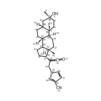 C[C@@]1(O)CC[C@@]2(F)[C@H](CC[C@H]3[C@@H]4CC[C@H](C(=C=O)Cn5ccc(C#N)n5)[C@@]4(C)CC[C@@H]32)C1